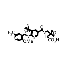 COc1cnc(C(F)(F)F)cc1[C@H](C)Nc1ncc(C(=O)NCC2(CC(=O)O)COC2)cc1C1C=N1